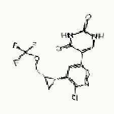 O=c1[nH]cc(-c2cc([C@H]3C[C@@H]3COC(F)(F)F)c(Cl)nn2)c(=O)[nH]1